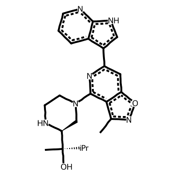 Cc1noc2cc(-c3c[nH]c4ncccc34)nc(N3CCN[C@H]([C@](C)(O)C(C)C)C3)c12